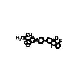 CN(C)C(=O)c1ccc(N2CCC(C3CCN(C(=O)c4c(F)cccc4F)CC3)CC2)cc1Cl